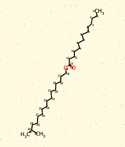 CCCCCCCCCCCCCC(=O)OCCCCCCCCCCCCCCC(C)C